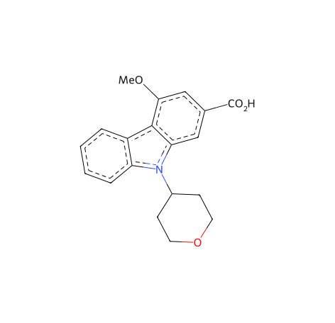 COc1cc(C(=O)O)cc2c1c1ccccc1n2C1CCOCC1